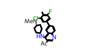 CN[C@H]1CC[C@H](Nc2c(C(C)=O)cnc3ccc(-c4cc(F)c(C)c(Cl)c4)cc23)CC1